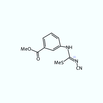 COC(=O)c1cccc(N/C(=N/C#N)SC)c1